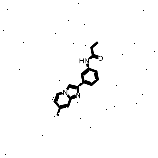 CCC(=O)Nc1cccc(-c2cn3ccc(C)cc3n2)c1